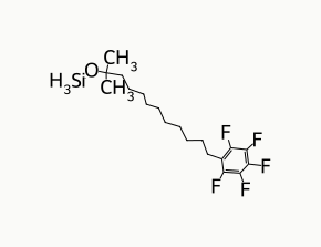 CC(C)(CCCCCCCCCCc1c(F)c(F)c(F)c(F)c1F)O[SiH3]